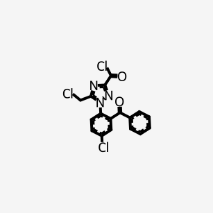 O=C(Cl)c1nc(CCl)n(-c2ccc(Cl)cc2C(=O)c2ccccc2)n1